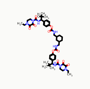 CCN1CCN(C(=O)NC(c2ccc(OC(=O)NCC3CCCC(CNC(=O)Oc4ccc(C(NC(=O)N5CCN(CC)C(=O)C5=O)C(C)(C)C)cc4)C3)cc2)C(C)(C)C)C(=O)C1=O